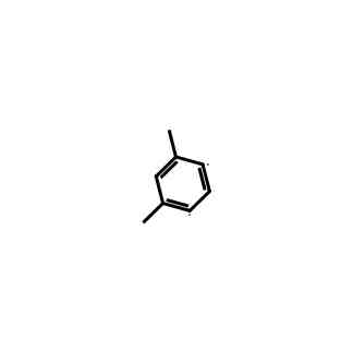 Cc1[c]c[c]c(C)c1